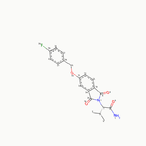 CC(C)[C@@H](C(N)=O)N1C(=O)c2ccc(OCc3ccc(F)cc3)cc2C1=O